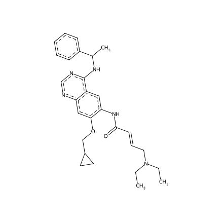 CCN(CC)CC=CC(=O)Nc1cc2c(NC(C)c3ccccc3)ncnc2cc1OCC1CC1